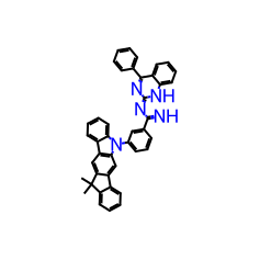 CC1(C)c2ccccc2-c2cc3c(cc21)c1ccccc1n3-c1cccc(C(=N)/N=c2/nc(-c3ccccc3)c3ccccc3[nH]2)c1